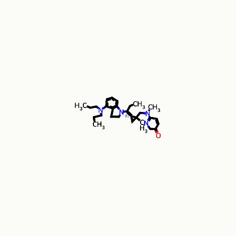 CCCN(CCC)c1cccc2c1CCN2/C(CC)=C1\CC1(C)CN(C)C1=NCC(=O)C=C1